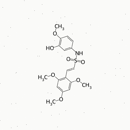 COc1cc(OC)c(C=CS(=O)(=O)Nc2ccc(OC)c(O)c2)c(OC)c1